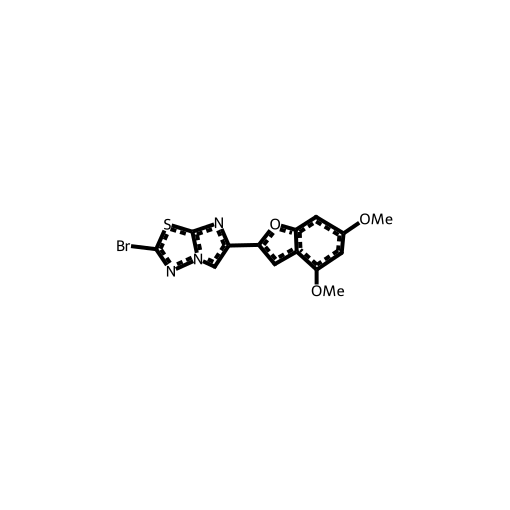 COc1cc(OC)c2cc(-c3cn4nc(Br)sc4n3)oc2c1